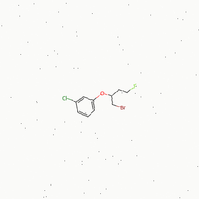 FCCC(CBr)Oc1cccc(Cl)c1